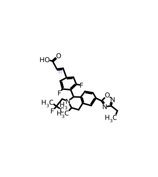 CCc1noc(-c2ccc3c(c2)CC(C)N(CC(C)(C)F)C3c2c(F)cc(/C=C/C(=O)O)cc2F)n1